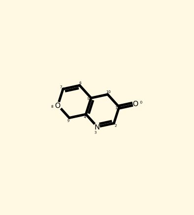 O=C1C=NC2=C(C=COC2)C1